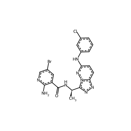 C[C@@H](NC(=O)c1cc(Br)cnc1N)c1nnc2ccc(Nc3cccc(Cl)c3)nn12